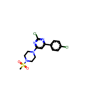 CS(=O)(=O)N1CCN(c2cc(-c3ccc(Cl)cc3)nc(Cl)n2)CC1